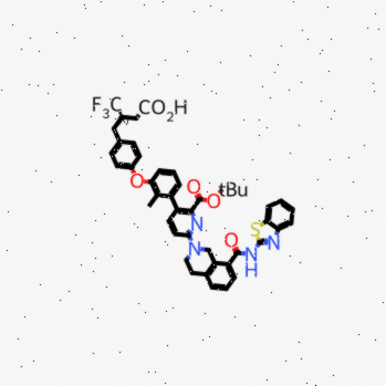 Cc1c(Oc2ccc(C[C@H](CC(=O)O)C(F)(F)F)cc2)cccc1-c1ccc(N2CCc3cccc(C(=O)Nc4nc5ccccc5s4)c3C2)nc1C(=O)OC(C)(C)C